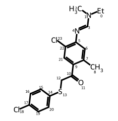 CCN(C)C=Nc1cc(C)c(C(=O)CSc2ccc(Cl)cc2)cc1Cl